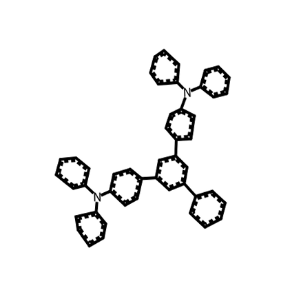 c1ccc(-c2cc(-c3ccc(N(c4ccccc4)c4ccccc4)cc3)cc(-c3ccc(N(c4ccccc4)c4ccccc4)cc3)c2)cc1